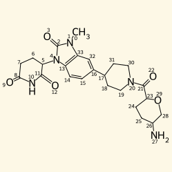 Cn1c(=O)n(C2CCC(=O)NC2=O)c2ccc(C3CCN(C(=O)C4CCC(N)CO4)CC3)cc21